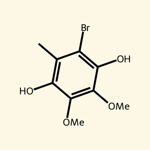 COc1c(O)c(C)c(Br)c(O)c1OC